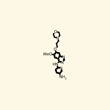 COc1cc2c(Nc3ccc(N)cn3)ncnc2cc1OCCCN1CCOCC1